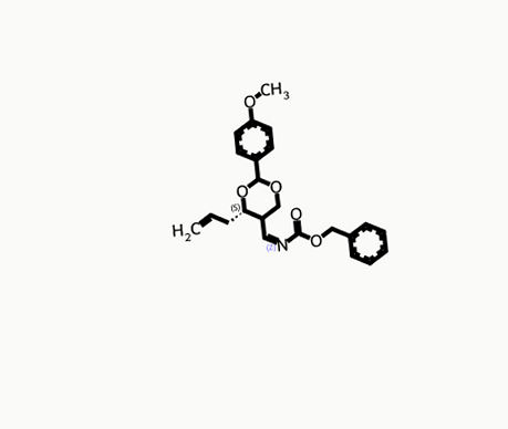 C=CC[C@@H]1OC(c2ccc(OC)cc2)OCC1/C=N\C(=O)OCc1ccccc1